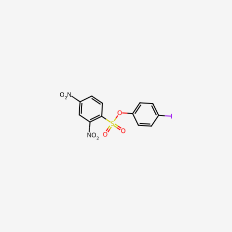 O=[N+]([O-])c1ccc(S(=O)(=O)Oc2ccc(I)cc2)c([N+](=O)[O-])c1